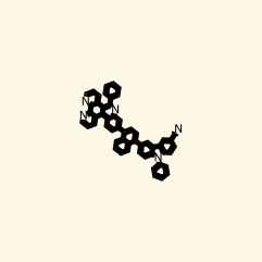 N#Cc1ccc2c(c1)c1cc(-c3ccc(-c4ccc5c(c4)nc(-c4ccccc4)c4c6cccnc6c6ncccc6c54)c4ccccc34)ccc1n2-c1ccccc1